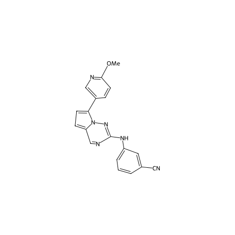 COc1ccc(-c2ccc3cnc(Nc4cccc(C#N)c4)nn23)cn1